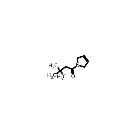 CC(C)(C)CC(=O)N1CC=CC1